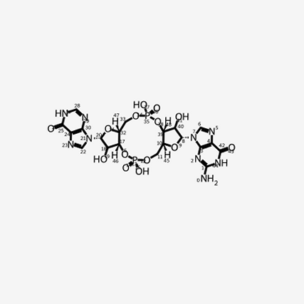 Nc1nc2c(ncn2[C@@H]2O[C@@H]3COP(=O)(O)O[C@@H]4C(O)[C@H](n5cnc6c(=O)[nH]cnc65)O[C@@H]4COP(=O)(O)O[C@@H]3C2O)c(=O)[nH]1